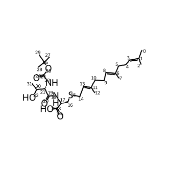 CC(C)=CCC/C(C)=C/CC/C(C)=C/CSC[C@H](NC(=O)[C@@H](NC(=O)OC(C)(C)C)C(C)O)C(=O)O